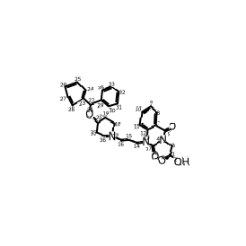 O=C(O)Cn1c(=O)c2ccccc2n(CCCN2CCC(OC(c3ccccc3)c3ccccc3)CC2)c1=O